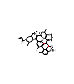 C=CC(=O)N1CC2CN(C)c3c(c4cc(F)c(-c5c(C)ccc6[nH]ncc56)c(F)c4n(-c4c(C(C)C)ncnc4C(C)C)c3=O)N2CC1C